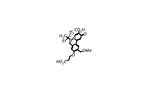 CCC(C)(C)N1Cc2cc(OCCC(=O)O)c(COC)cc2-c2cc(=O)c(C(=O)O)cn21